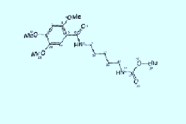 COc1cc(OC)c(C(=O)NCCCCCNC(=O)OC(C)(C)C)cc1OC